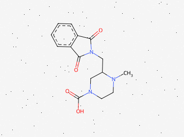 CN1CCN(C(=O)O)CC1CN1C(=O)c2ccccc2C1=O